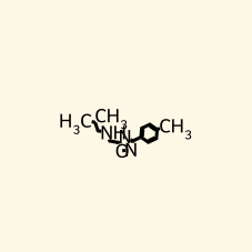 Cc1ccc(-c2noc(CNCC(C)C)n2)cc1